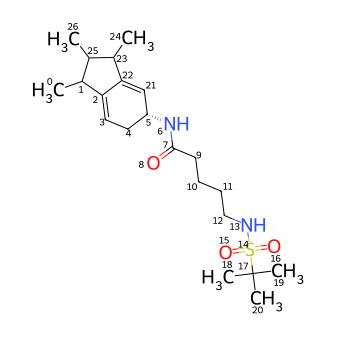 CC1C2=CC[C@@H](NC(=O)CCCCNS(=O)(=O)C(C)(C)C)C=C2C(C)C1C